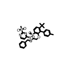 Cc1ccc(-c2c(C(C)(C)C)ccc(S(=O)(=O)Nc3ccnc(S(C)(=O)=O)n3)c2OCCOCc2ccccc2)cc1